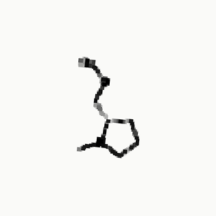 CN1CCC[C@H]1COC(C)(C)C